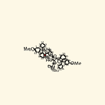 COc1ccc(C(Nc2ncnc3c2ncn3[C@@H]2O[C@H](COC(c3ccccc3)(c3ccccc3)c3ccc(OC)cc3)C(OCOC(=O)C(C)(C)C)C2O)(c2ccccc2)c2ccccc2)cc1